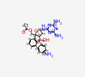 CCC(=O)OCC1(c2ccccc2)OCCC1P(=O)(O)c1ccccc1.N.Nc1nc(N)nc(N)n1